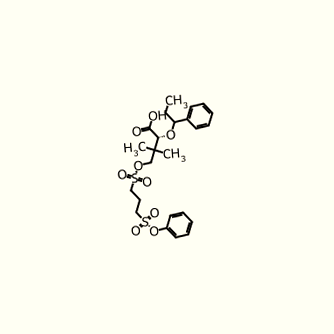 CCC(O[C@@H](C(=O)O)C(C)(C)COS(=O)(=O)CCCS(=O)(=O)Oc1ccccc1)c1ccccc1